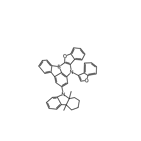 CC12CCCCC1(C)N(c1cc3c4c(c1)N(c1coc5ccccc15)c1c(oc5ccccc15)B4c1ccccc1-3)c1ccccc12